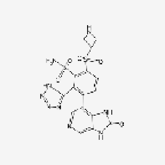 NS(=O)(=O)c1c(S(=O)(=O)C2CNC2)ccc(-c2cncc3[nH]c(=O)[nH]c23)c1-c1nnn[nH]1